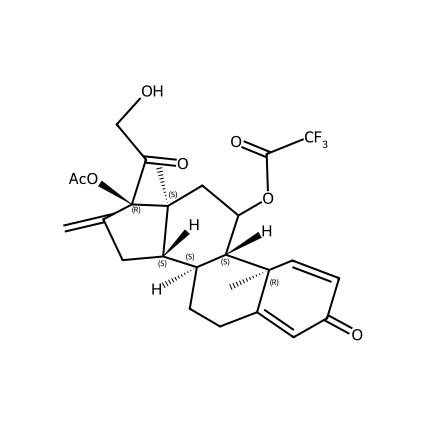 C=C1C[C@H]2[C@@H]3CCC4=CC(=O)C=C[C@]4(C)[C@H]3C(OC(=O)C(F)(F)F)C[C@]2(C)[C@@]1(OC(C)=O)C(=O)CO